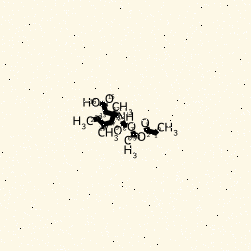 CCC(=O)O[C@@H](C)OC(=O)N[C@@](C)(CC(=O)O)C[C@@H](C)CC